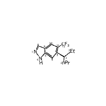 CCCC(CC)c1cc2[nH]ncc2cc1C(F)(F)F